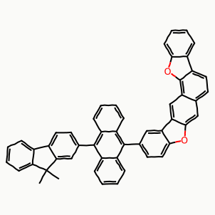 CC1(C)c2ccccc2-c2ccc(-c3c4ccccc4c(-c4ccc5oc6cc7ccc8c9ccccc9oc8c7cc6c5c4)c4ccccc34)cc21